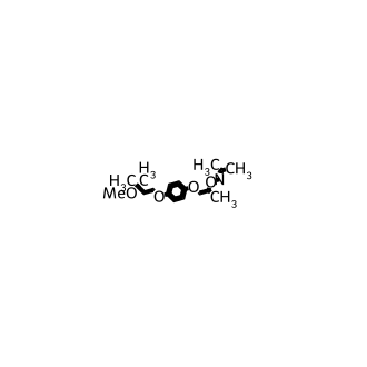 COC(C)(C)CCOc1ccc(OCC(C)ON=C(C)C)cc1